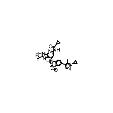 Cc1c(-c2ccc(Nc3cc(NC(=O)C4CC4)nc4[nH]c(C(F)F)nc34)c(S(C)(=O)=O)c2)cnn1C1CC1